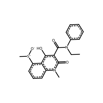 CCN(C(=O)c1c(O)c2c([S+](C)[O-])cccc2n(C)c1=O)c1ccccc1